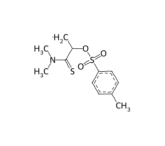 [CH2]C(OS(=O)(=O)c1ccc(C)cc1)C(=S)N(C)C